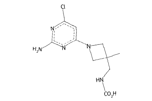 CC1(CNC(=O)O)CN(c2cc(Cl)nc(N)n2)C1